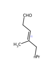 CCCC/C(C)=C/CC=O